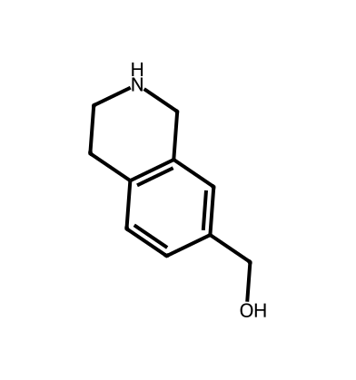 OCc1ccc2c(c1)CNCC2